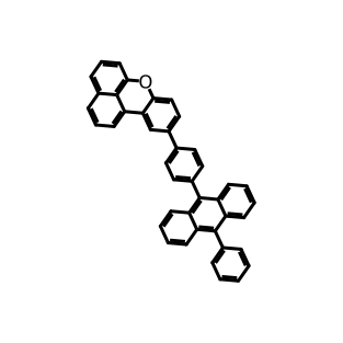 c1ccc(-c2c3ccccc3c(-c3ccc(-c4ccc5c(c4)-c4cccc6cccc(c46)O5)cc3)c3ccccc23)cc1